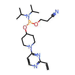 C=Cc1nccc(N2CCC(OP(OCCC#N)N(C(C)C)C(C)C)CC2)n1